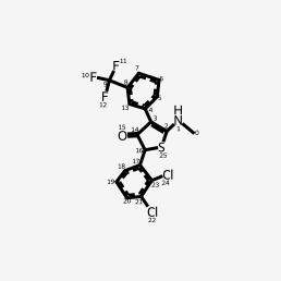 CNC1=C(c2cccc(C(F)(F)F)c2)C(=O)C(c2cccc(Cl)c2Cl)S1